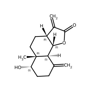 C=C1C(=O)O[C@H]2[C@@H]1CC[C@]1(C)[C@@H]2C(=C)CC[C@@H]1O